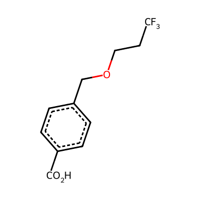 O=C(O)c1ccc(COCCC(F)(F)F)cc1